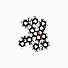 CC1(C)c2ccccc2-c2ccc(-c3c4cc(N5c6ccccc6Oc6ccccc65)ccc4c(-c4cc5ccccc5cc4-c4ccccc4)c4cc(N5c6ccccc6Oc6ccccc65)ccc34)cc21